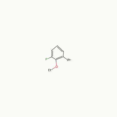 CCOc1c(F)cccc1[C](C)C